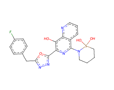 Oc1c(-c2nnc(Cc3ccc(F)cc3)o2)nc(N2CCCCS2(O)O)c2cccnc12